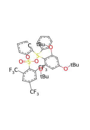 CC(C)(C)Oc1cc(OC(C)(C)C)c(S(OS(=O)(=O)c2c(C(F)(F)F)cc(C(F)(F)F)cc2C(F)(F)F)(c2ccccc2)c2ccccc2)c(OC(C)(C)C)c1